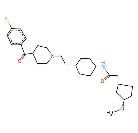 CO[C@@H]1CC[C@@H](CC(=O)N[C@H]2CC[C@@H](CCN3CCC(C(=O)c4ccc(F)cc4)CC3)CC2)C1